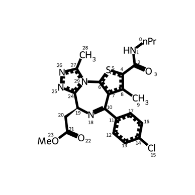 CCCNC(=O)c1sc2c(c1C)C(c1ccc(Cl)cc1)=N[C@@H](CC(=O)OC)c1nnc(C)n1-2